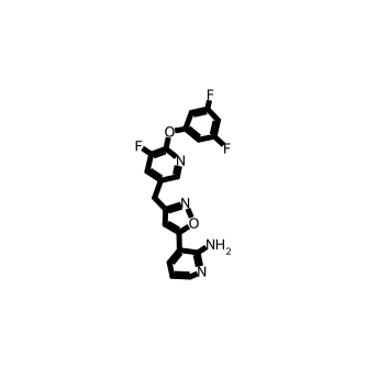 Nc1ncccc1-c1cc(Cc2cnc(Oc3cc(F)cc(F)c3)c(F)c2)no1